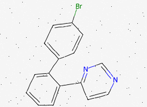 Brc1ccc(-c2ccccc2-c2ccncn2)cc1